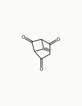 [N-]=[N+]1C2C(=O)CC(=O)C1C2=O